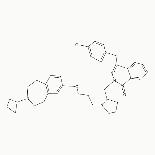 O=c1c2ccccc2c(Cc2ccc(Cl)cc2)nn1CC1CCCN1CCCOc1ccc2c(c1)CCN(C1CCC1)CC2